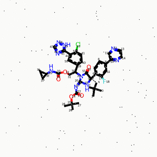 CC(C)(C)C[C@]1(c2ccc(-c3cnccn3)cc2F)NC(=NC(=O)OC(C)(C)C)N(C(COC(=O)NC2CC2)c2ccc(Cl)c(-c3ncn[nH]3)c2)C1=O